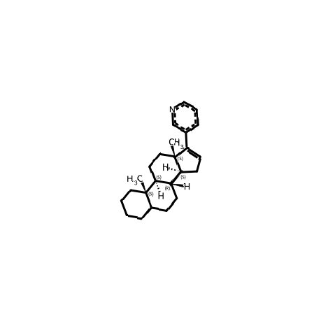 C[C@]12CCCCC1CC[C@@H]1[C@@H]2CC[C@]2(C)C(c3cccnc3)=CC[C@@H]12